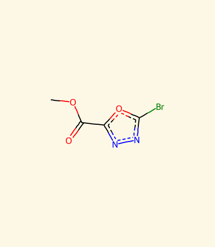 COC(=O)c1nnc(Br)o1